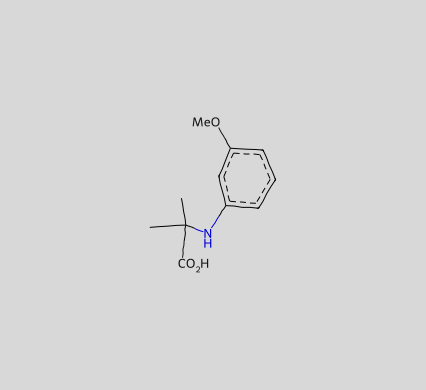 COc1cccc(NC(C)(C)C(=O)O)c1